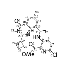 COC(=O)c1nc(Cl)ccc1N[C@H](C)c1cc(C)cc2c(=O)n(C)c(C34CC(C3)C4)nc12